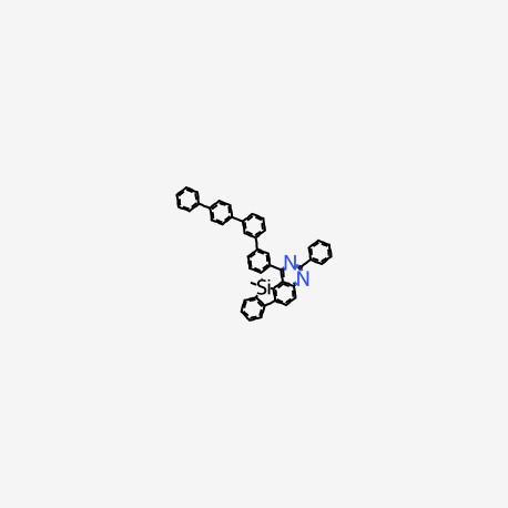 C[Si]1(C)c2ccccc2-c2ccc3nc(-c4ccccc4)nc(-c4cccc(-c5cccc(-c6ccc(-c7ccccc7)cc6)c5)c4)c3c21